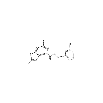 Cc1nc(NCCc2cccc(F)c2)c2cc(C)sc2n1